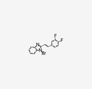 Fc1ccc(C=Cc2nc3ccccc3n2Br)cc1F